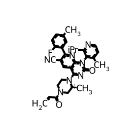 C=CC(=O)N1CCN(c2nc(=O)n(-c3c(C)ccnc3C(C)C)c3nc(-c4cc(C)ccc4F)c(C#N)cc23)[C@@H](C)C1